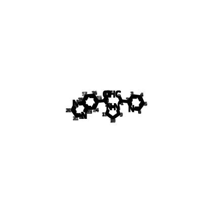 O=CC(c1ccccn1)N1CCCN1C(=O)c1ccc2nccnc2c1